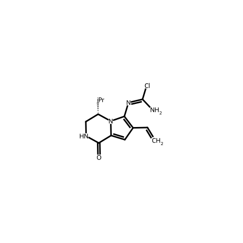 C=Cc1cc2n(c1/N=C(\N)Cl)[C@@H](C(C)C)CNC2=O